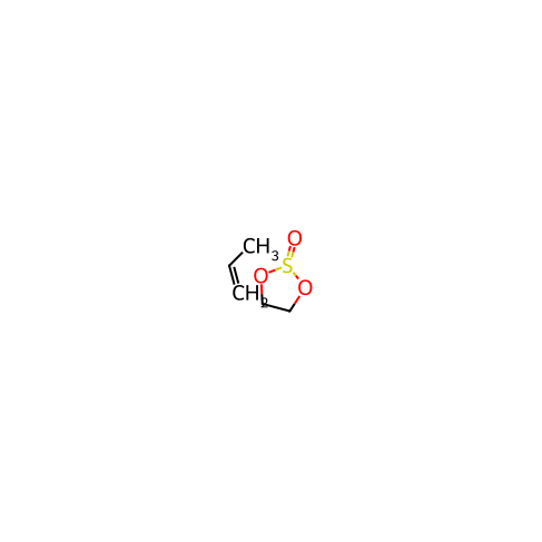 C=CC.O=S1OCCO1